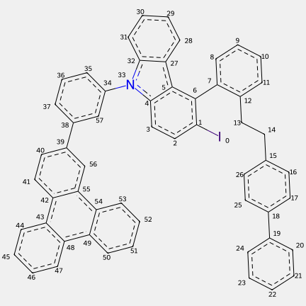 Ic1ccc2c(c1-c1ccccc1CCc1ccc(-c3ccccc3)cc1)c1ccccc1n2-c1cccc(-c2ccc3c4ccccc4c4ccccc4c3c2)c1